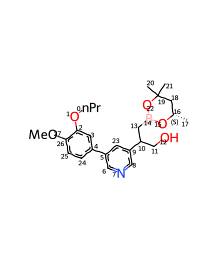 CCCOc1cc(-c2cncc(C(CO)CB3O[C@@H](C)CC(C)(C)O3)c2)ccc1OC